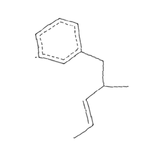 CC=CC(C)Cc1c[c]ccc1